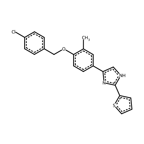 Cc1cc(-c2c[nH]c(-c3cccs3)n2)ccc1OCc1ccc(Cl)cc1